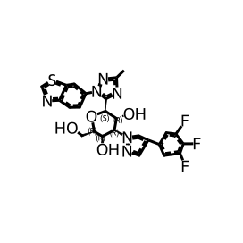 Cc1nc([C@@H]2O[C@H](CO)[C@H](O)[C@H](n3cc(-c4cc(F)c(F)c(F)c4)cn3)[C@H]2O)n(-c2ccc3ncsc3c2)n1